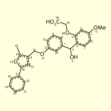 COc1ccc(C(O)c2cccc(OCc3nc(-c4ccccc4)oc3C)c2)c(OCC(=O)O)c1